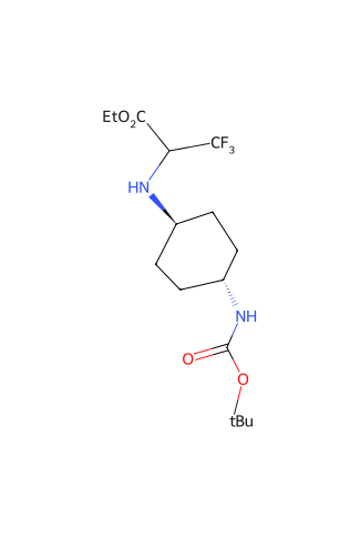 CCOC(=O)C(N[C@H]1CC[C@H](NC(=O)OC(C)(C)C)CC1)C(F)(F)F